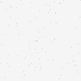 CN(C)C(=O)c1ccc(Oc2ccc(F)c3c2CC[C@H]3Oc2ccc3c(c2)OCC3CC(=O)O)cc1